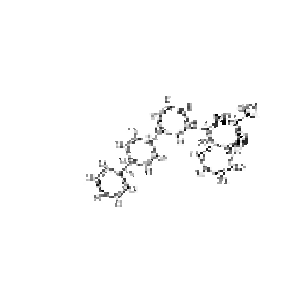 Clc1nc(-c2cccc(-c3ccc(-c4ccccc4)cc3)c2)c2ccccc2n1